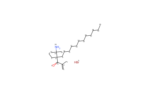 Br.C=C(C)C(=O)C(CC)(CCCCCCCCCCCC)C(C)(C)N